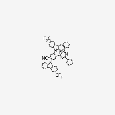 N#Cc1cc(-n2c3ccccc3c3cc(C(F)(F)F)ccc32)c(-c2nc(-c3ccccc3)nc(-c3ccccc3)n2)cc1-n1c2ccccc2c2cc(C(F)(F)F)ccc21